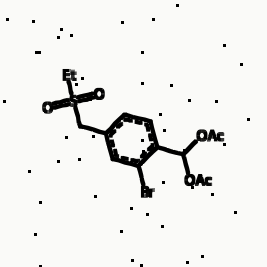 CCS(=O)(=O)Cc1ccc(C(OC(C)=O)OC(C)=O)c(Br)c1